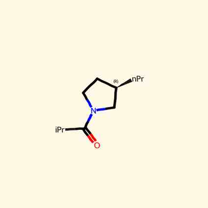 CCC[C@@H]1CCN(C(=O)C(C)C)C1